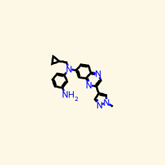 Cn1cc(-c2cnc3ccc(N(CC4CC4)c4cccc(N)c4)cc3n2)cn1